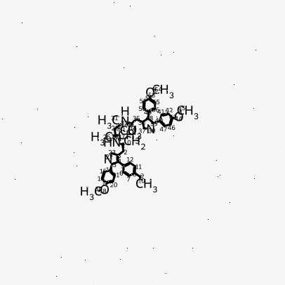 C=C(CC1=C(c2ccc(CC)cc2)C(c2ccc(OC)cc2)=NC1)NC(C)(C)CC(C)(C)NC(=O)CC1CN=C(c2ccc(OC)cc2)C1c1ccc(OC)cc1